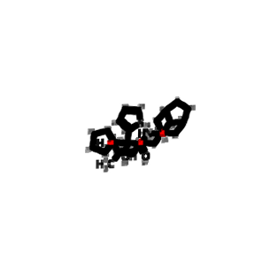 CC(C)=CCCN1CC2CCC(C1)C2CNC(=O)C(O)(c1cccs1)C1CCCC1